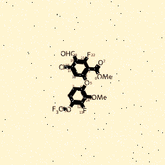 COC(=O)c1c(Oc2ccc(OC(F)(F)F)c(F)c2OC)cc(Cl)c(C=O)c1F